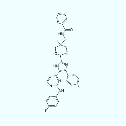 CC1(CNC(=O)c2ccccc2)COC(c2nc(-c3ccc(F)cc3)c(-c3ccnc(Nc4ccc(F)cc4)n3)[nH]2)OC1